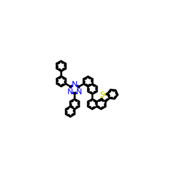 c1ccc(-c2cccc(-c3nc(-c4ccc5ccccc5c4)nc(-c4cccc5ccc(-c6cccc7ccc8c9ccccc9sc8c67)cc45)n3)c2)cc1